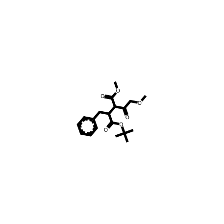 COCC(=O)C(C(=O)OC)C(Cc1ccccc1)C(=O)OC(C)(C)C